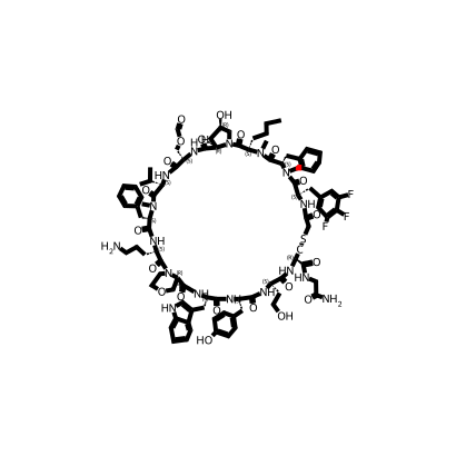 CCCC[C@H]1C(=O)N2C[C@H](O)C[C@@H]2C(=O)N[C@@H](COC=O)C(=O)N[C@@H](C(C)C)C(=O)N(C)[C@@H](Cc2ccccc2)C(=O)N[C@@H](CCCN)C(=O)N2CCOC[C@@H]2C(=O)N[C@@H](Cc2c[nH]c3ccccc23)C(=O)N[C@@H](Cc2ccc(O)cc2)C(=O)N[C@@H](CCO)C(=O)N[C@H](C(=O)NCC(N)=O)CSCC(=O)N[C@@H](Cc2cc(F)c(F)c(F)c2)C(=O)N(C)[C@@H](Cc2ccccc2)C(=O)N1C